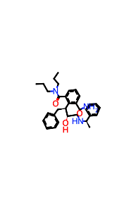 CCCN(CCC)C(=O)c1cccc(C(N)=O)c1[C@H](Cc1ccccc1)[C@@H](O)CN[C@H](C)c1ccccc1